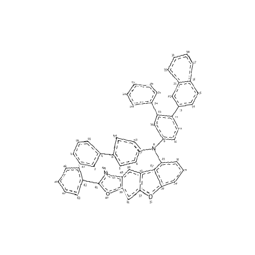 c1ccc(-c2ccc(N(c3ccc(-c4ccc5ccccc5c4)c(-c4ccccc4)c3)c3cccc4oc5cc6oc(-c7ccccc7)nc6cc5c34)cc2)cc1